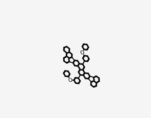 c1ccc(Oc2cccc(-c3cc4c5cc6c(cc5c(-c5cccc(Oc7ccccc7)c5)cc4c4cc5c(cc34)-c3cccc4cccc-5c34)-c3cc4ccccc4c4cccc-6c34)c2)cc1